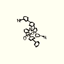 N#Cc1cccc(-c2ccc3c4ccc(-c5cccc(C#N)c5)cc4n(-c4cccc5c4C(=O)N(c4ccc(-c6ccccc6)cc4)C5=O)c3c2)c1